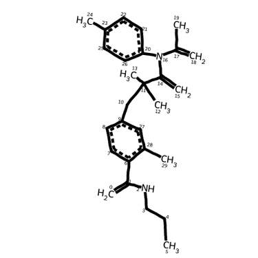 C=C(NCCC)c1ccc(CC(C)(C)C(=C)N(C(=C)C)c2ccc(C)cc2)cc1C